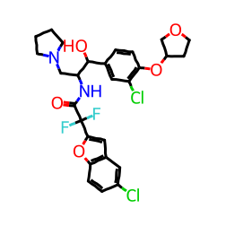 O=C(NC(CN1CCCC1)C(O)c1ccc(OC2CCOC2)c(Cl)c1)C(F)(F)c1cc2cc(Cl)ccc2o1